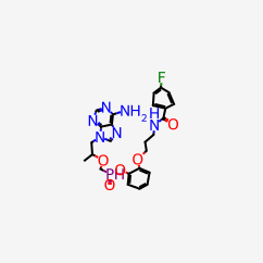 CC(Cn1cnc2c(N)ncnc21)OC[PH](=O)Oc1ccccc1OCCCNC(=O)c1ccc(F)cc1